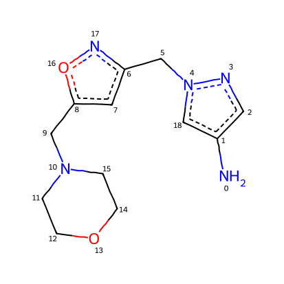 Nc1cnn(Cc2cc(CN3CCOCC3)on2)c1